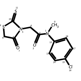 CN(C(=O)CN1C(=O)CSC1=S)c1ccc(Cl)cc1